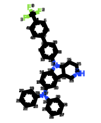 FC(F)(F)c1ccc(-c2ccc(N3c4ccc(N(c5ccccc5)c5ccccc5)cc4C4CNCCC43)cc2)cc1